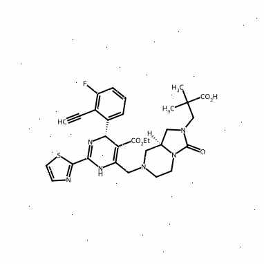 C#Cc1c(F)cccc1[C@H]1N=C(c2nccs2)NC(CN2CCN3C(=O)N(CC(C)(C)C(=O)O)C[C@@H]3C2)=C1C(=O)OCC